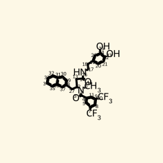 CN(C(=O)c1cc(C(F)(F)F)cc(C(F)(F)F)c1)C(CC(=O)NCCc1ccc(O)c(O)c1)Cc1ccc2ccccc2c1